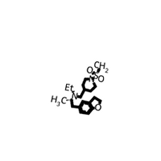 C=CS(=O)(=O)N1CCC(CN(CC)[C@@H](C)Cc2ccc3c(c2)CCO3)CC1